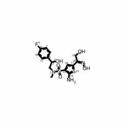 CN(CC(O)c1ccc(F)cc1)S(=O)(=O)c1cc(/C(CO)=N\O)sc1N